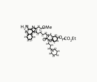 CCOC(=O)COc1cccc(CN(CCCCn2c(CCOC)nc3c(N)nc4ccccc4c32)C(=O)NCCCN2CCCCC2)c1